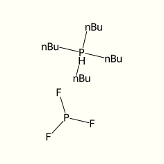 CCCC[PH](CCCC)(CCCC)CCCC.FP(F)F